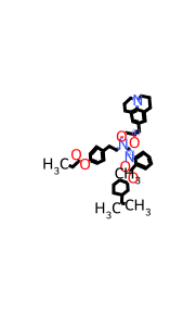 CCC(=O)Oc1ccc(CCN2OC/C(=C\c3cc4c5c(c3)CCCN5CCC4)O/C2=N\c2ccccc2C(=O)OC2CC(C(C)C)CCC2C)cc1